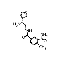 Cc1ccc(C(=O)NCCC(N)c2ccsc2)cc1C(N)=O